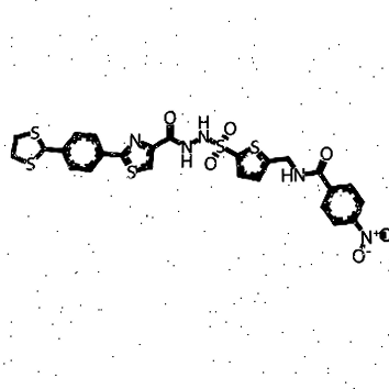 O=C(NCc1ccc(S(=O)(=O)NNC(=O)c2csc(-c3ccc(C4SCCS4)cc3)n2)s1)c1ccc([N+](=O)[O-])cc1